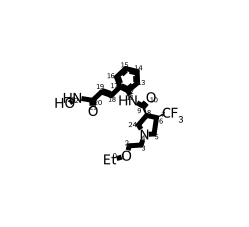 CCOCCN1C[C@@H](C(F)(F)F)[C@H](C(=O)Nc2ccccc2/C=C/C(=O)NO)C1